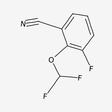 N#Cc1cccc(F)c1OC(F)F